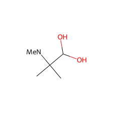 CNC(C)(C)C(O)O